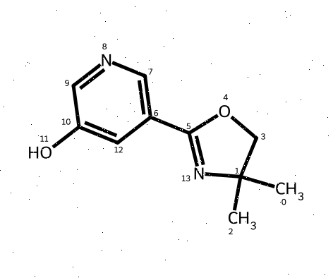 CC1(C)COC(c2cncc(O)c2)=N1